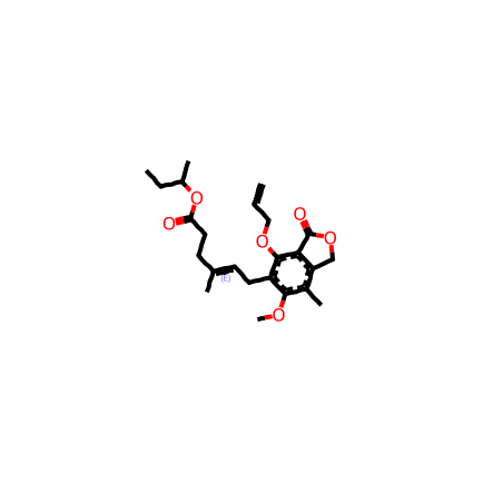 C=CCOc1c(C/C=C(\C)CCC(=O)OC(C)CC)c(OC)c(C)c2c1C(=O)OC2